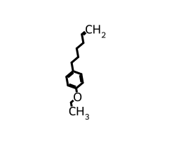 C=CCCCCc1ccc(OCC)cc1